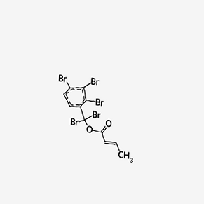 C/C=C/C(=O)OC(Br)(Br)c1ccc(Br)c(Br)c1Br